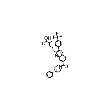 CC(CCCc1nc2cc(C(=O)N3CCN(c4ccccc4)CC3)ccc2nc1-c1ccc(C(F)(F)F)cc1)C(=O)O